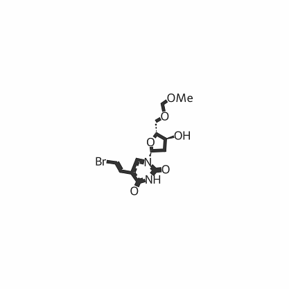 COCOC[C@H]1O[C@@H](n2cc(/C=C/Br)c(=O)[nH]c2=O)C[C@@H]1O